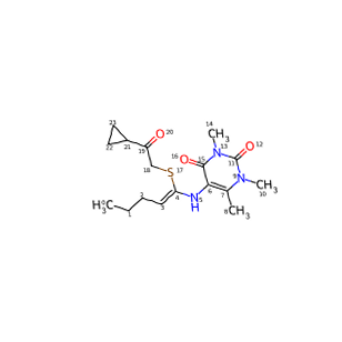 CCC/C=C(/Nc1c(C)n(C)c(=O)n(C)c1=O)SCC(=O)C1CC1